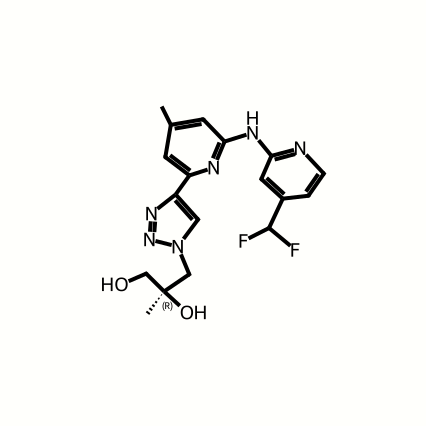 Cc1cc(Nc2cc(C(F)F)ccn2)nc(-c2cn(C[C@@](C)(O)CO)nn2)c1